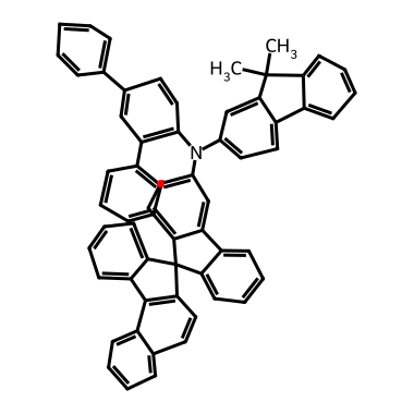 CC1(C)c2ccccc2-c2ccc(N(c3ccc4c(c3)-c3ccccc3C43c4ccccc4-c4c3ccc3ccccc43)c3ccc(-c4ccccc4)cc3-c3ccccc3)cc21